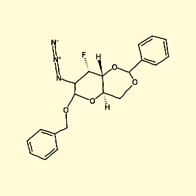 [N-]=[N+]=NC1C(OCc2ccccc2)O[C@@H]2COC(c3ccccc3)O[C@H]2[C@H]1F